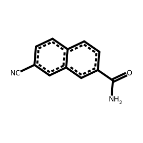 N#Cc1ccc2ccc(C(N)=O)cc2c1